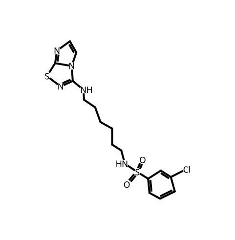 O=S(=O)(NCCCCCCNc1nsc2nccn12)c1cccc(Cl)c1